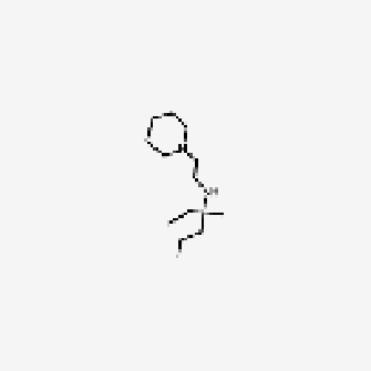 CCCC(C)(CC)NCCN1CCCCC1